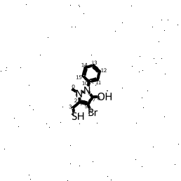 CN1C(CS)=C(Br)C(O)N1c1ccccc1